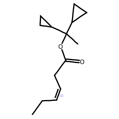 CC/C=C\CC(=O)OC(C)(C1CC1)C1CC1